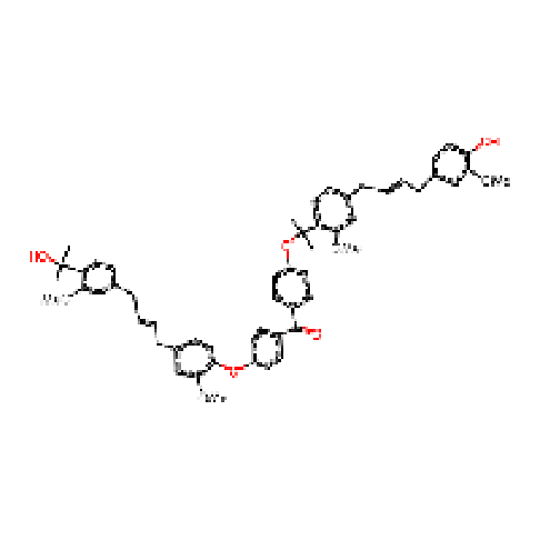 COc1cc(C/C=C/Cc2ccc(C(C)(C)Oc3ccc(C(=O)c4ccc(Oc5ccc(C/C=C/Cc6ccc(C(C)(C)O)c(OC)c6)cc5OC)cc4)cc3)c(OC)c2)ccc1O